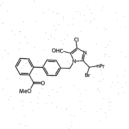 CCCC(Br)c1nc(Cl)c(C=O)n1Cc1ccc(-c2ccccc2C(=O)OC)cc1